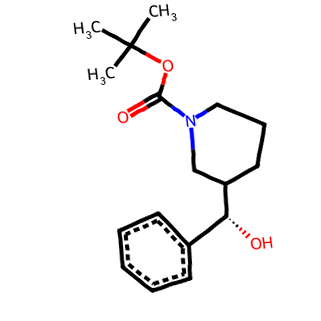 CC(C)(C)OC(=O)N1CCCC([C@H](O)c2ccccc2)C1